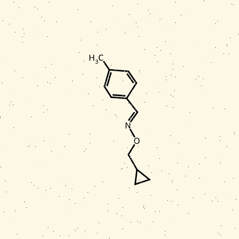 Cc1ccc(/C=N/OCC2CC2)cc1